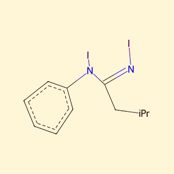 CC(C)C/C(=N/I)N(I)c1ccccc1